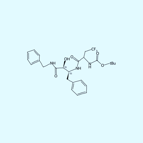 CC(C)(C)OC(=O)NC(CC(F)(F)F)C(=O)N[C@@H](Cc1ccccc1)[C@H](O)C(=O)NCc1ccccc1